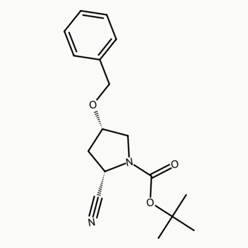 CC(C)(C)OC(=O)N1C[C@@H](OCc2ccccc2)C[C@H]1C#N